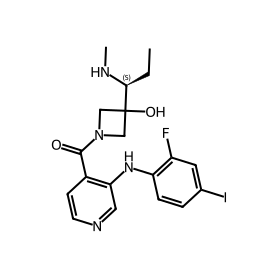 CC[C@H](NC)C1(O)CN(C(=O)c2ccncc2Nc2ccc(I)cc2F)C1